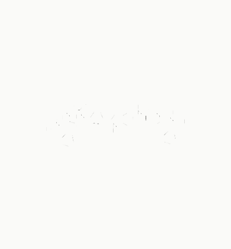 CN(C)C(C(=O)N1CCC[C@H]1C(=O)Nc1ccc2c(c1)CCc1c-2[nH]c2ccc(NC(=O)[C@@H]3CCCN3C(=O)C(c3ccccc3)N(C)C)cc12)c1ccccc1